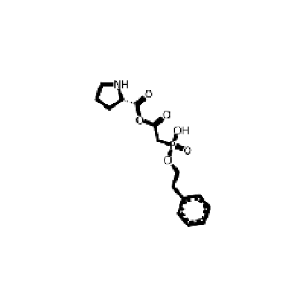 O=C(CP(=O)(O)OCCc1ccccc1)OC(=O)[C@@H]1CCCN1